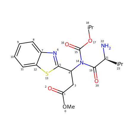 COC(=O)CC(c1nc2ccccc2s1)N(C(=O)OC(C)C)C(=O)[C@@H](N)C(C)C